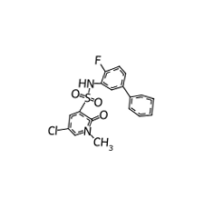 Cn1cc(Cl)cc(S(=O)(=O)Nc2cc(-c3ccccc3)ccc2F)c1=O